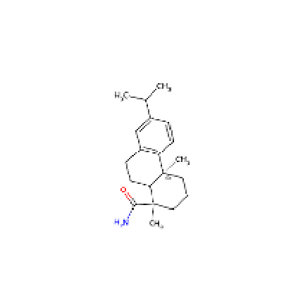 CC(C)c1ccc2c(c1)CCC1C(C)(C(N)=O)CCC[C@]21C